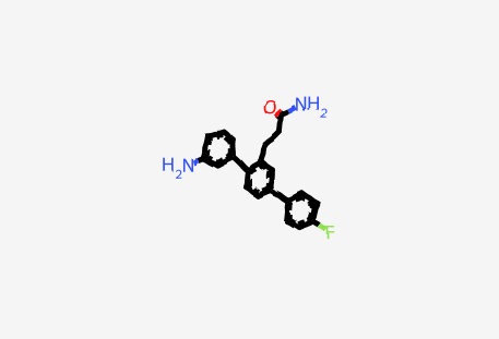 NC(=O)CCc1cc(-c2ccc(F)cc2)ccc1-c1cccc(N)c1